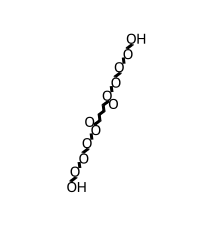 O=C(CCCCC(=O)OCCOCCOCCOCCO)OCCOCCOCCOCCO